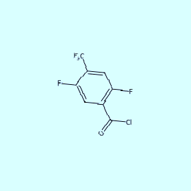 O=C(Cl)c1cc(F)c(C(F)(F)F)cc1F